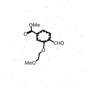 COCCOc1cc(C(=O)OC)ccc1C=O